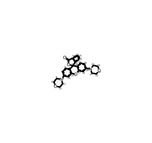 O=C1OC2(c3ccc(N4CCOCC4)cc3Oc3cc(N4CCOCC4)ccc32)c2ccccc21